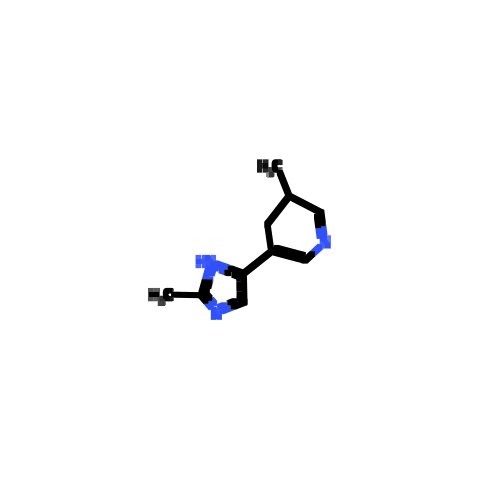 Cc1ncc(C2=CN=CC(C)C2)[nH]1